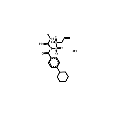 C=CCS(=O)(=O)S(=O)(=O)N(C(=N)NC)C(=O)c1ccc(C2CCCCC2)cc1.Cl